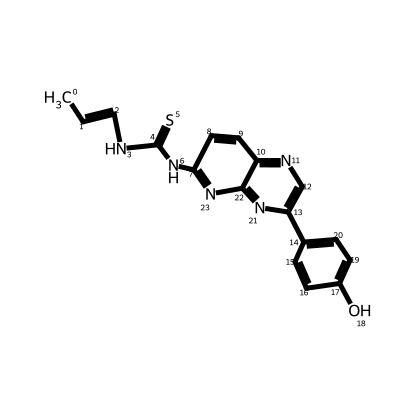 C/C=C/NC(=S)Nc1ccc2ncc(-c3ccc(O)cc3)nc2n1